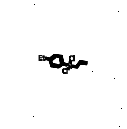 C=CC[Si](Cl)(Cl)c1ccc(CC)cc1